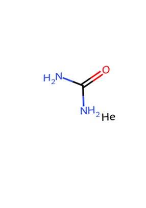 NC(N)=O.[He]